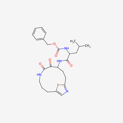 CC(C)CC(NC(=O)OCc1ccccc1)C(=O)NC1CCc2ncc(s2)CCCNC(=O)C1=O